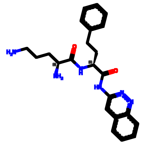 NCCC[C@H](N)C(=O)N[C@H](CCc1ccccc1)C(=O)Nc1cc2ccccc2nn1